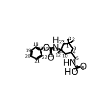 CC1(C)CC(CNC(=O)O)CC(C)(NC(=O)Oc2ccccc2)C1